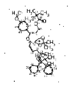 COc1ccc(COC(/C=C\C[C@H](C)O[Si](c2ccccc2)(c2ccccc2)C(C)(C)C)[C@H]2OC(C)(C)O[C@H]2CCOC(=O)C(C)(C)C)cc1